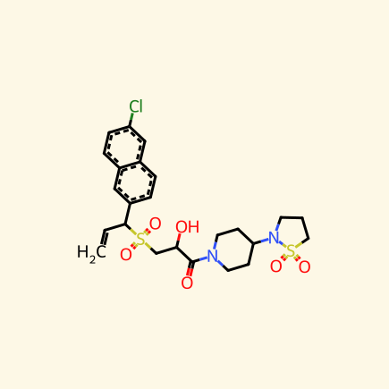 C=CC(c1ccc2cc(Cl)ccc2c1)S(=O)(=O)CC(O)C(=O)N1CCC(N2CCCS2(=O)=O)CC1